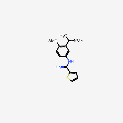 CNC(C)c1cc(NC(=N)c2cccs2)ccc1OC